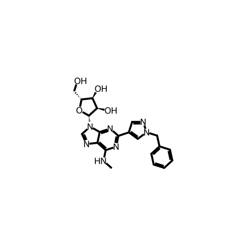 CNc1nc(-c2cnn(Cc3ccccc3)c2)nc2c1ncn2[C@@H]1O[C@H](CO)[C@@H](O)[C@H]1O